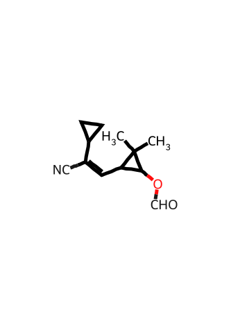 CC1(C)C(/C=C(/C#N)C2CC2)C1OC=O